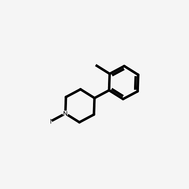 Cc1ccccc1C1CCN(I)CC1